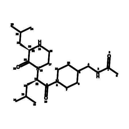 CC(=O)NCC1CCN(C(=O)[C@H](CC(C)C)N2CCN[C@@H](CC(C)C)C2=O)CC1